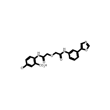 O=C(COCC(=O)Nc1ccc(Cl)cc1C(=O)O)Nc1cccc(-c2cnco2)c1